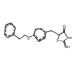 N=C1NC(=O)C(Cc2ccc(OCCc3ccccn3)cc2)S1